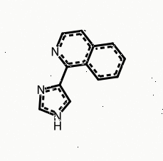 [c]1cnc(-c2c[nH]cn2)c2ccccc12